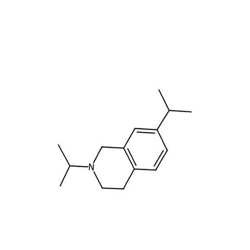 CC(C)c1ccc2c(c1)CN(C(C)C)CC2